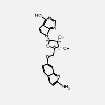 Nc1ccc2ccc(OC[C@H]3O[C@@H](n4ccc5c(O)ncnc54)[C@H](O)[C@@H]3O)cc2n1